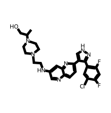 CC(CO)N1CCN(CCNc2cnc3ccc(-c4c[nH]nc4-c4cc(Cl)c(F)cc4F)nc3c2)CC1